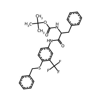 CC(C)(C)OC(=O)NC(Cc1ccccc1)C(=O)Nc1ccc(SCc2ccccc2)c(C(F)(F)F)c1